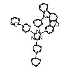 c1ccc(-c2ccc(-c3nc(-c4ccc(-c5ccccc5)cc4)nc(-c4ccc5oc6ccc7c8ccccc8n(-c8ccccc8)c7c6c5c4)n3)cc2)cc1